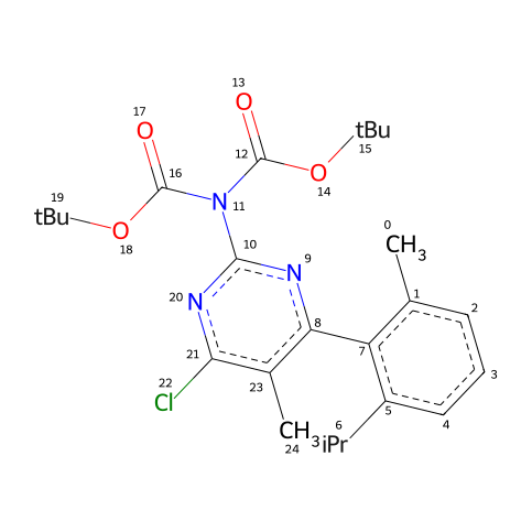 Cc1cccc(C(C)C)c1-c1nc(N(C(=O)OC(C)(C)C)C(=O)OC(C)(C)C)nc(Cl)c1C